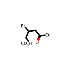 CC[C](CC(=O)O)CC(=O)CC